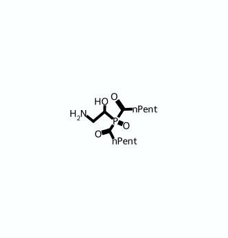 CCCCCC(=O)P(=O)(C(=O)CCCCC)C(O)CN